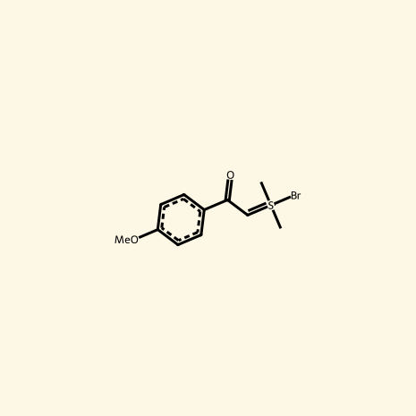 COc1ccc(C(=O)C=[S](C)(C)Br)cc1